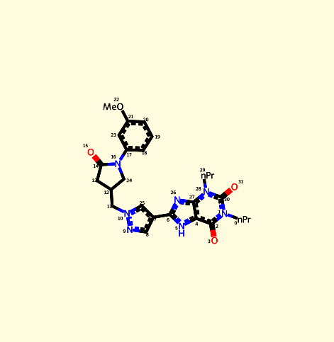 CCCn1c(=O)c2[nH]c(-c3cnn(CC4CC(=O)N(c5cccc(OC)c5)C4)c3)nc2n(CCC)c1=O